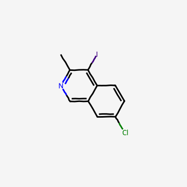 Cc1ncc2cc(Cl)ccc2c1I